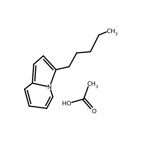 CC(=O)O.CCCCCc1ccc2ccccn12